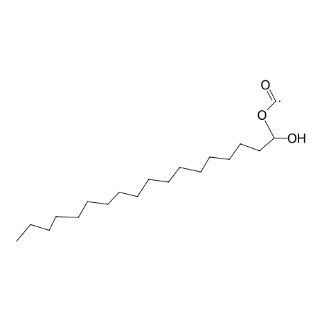 CCCCCCCCCCCCCCCCCC(O)O[C]=O